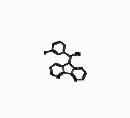 N#CC(=C1c2cccnc2-c2ncccc21)c1cccc(F)c1